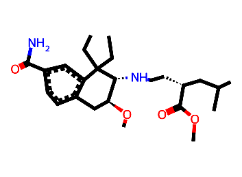 CCC1(CC)c2cc(C(N)=O)ccc2C[C@H](OC)[C@H]1NCC[C@H](CC(C)C)C(=O)OC